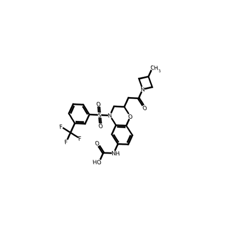 CC1CN(C(=O)CC2CN(S(=O)(=O)c3cccc(C(F)(F)F)c3)c3cc(NC(=O)O)ccc3O2)C1